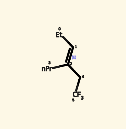 CC/C=C(\CCC)CC(F)(F)F